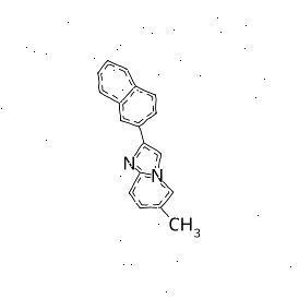 Cc1ccc2nc(-c3ccc4ccccc4c3)cn2c1